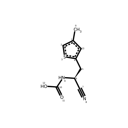 Cc1csc(C[C@@H](C#N)NC(=O)O)c1